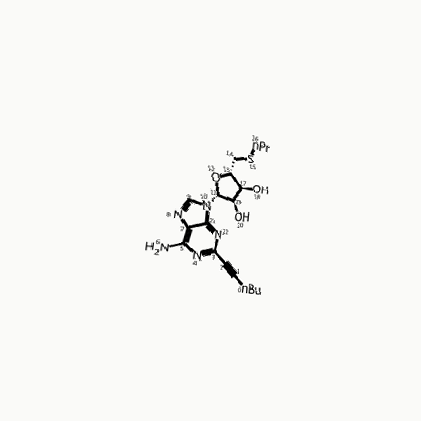 CCCCC#Cc1nc(N)c2ncn([C@@H]3O[C@H](CSCCC)[C@@H](O)[C@H]3O)c2n1